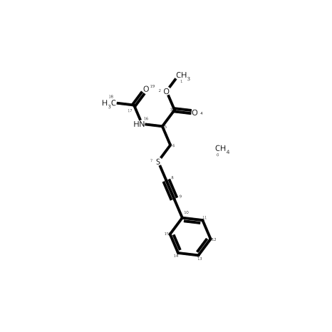 C.COC(=O)C(CSC#Cc1ccccc1)NC(C)=O